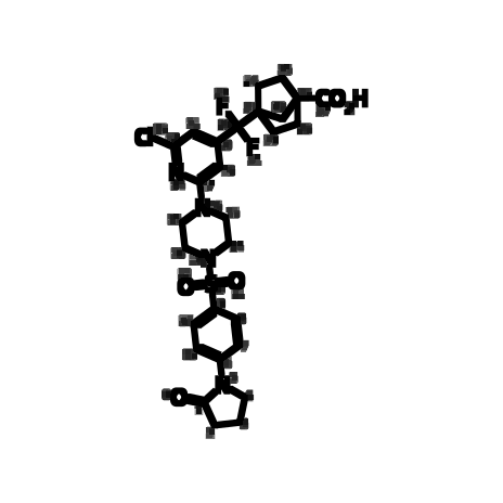 O=C1CCCN1c1ccc(S(=O)(=O)N2CCN(c3cc(C(F)(F)C45CCC(C(=O)O)(CC4)C5)cc(Cl)n3)CC2)cc1